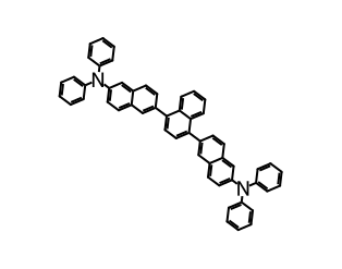 c1ccc(N(c2ccccc2)c2ccc3cc(-c4ccc(-c5ccc6cc(N(c7ccccc7)c7ccccc7)ccc6c5)c5ccccc45)ccc3c2)cc1